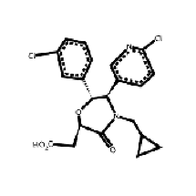 O=C(O)C[C@H]1O[C@H](c2cccc(Cl)c2)[C@@H](c2ccc(Cl)nc2)N(CC2CC2)C1=O